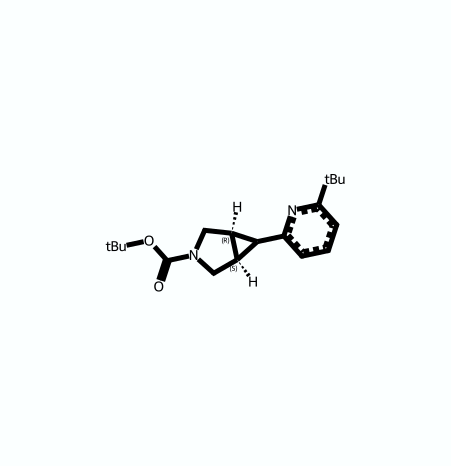 CC(C)(C)OC(=O)N1C[C@@H]2C(c3cccc(C(C)(C)C)n3)[C@@H]2C1